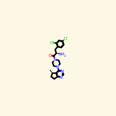 C[C@@H]1CCc2ncnc(N3CCN(C(=O)[C@H](N)Cc4ccc(Cl)cc4Cl)CC3)c21